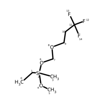 CC[Si](C)(OC)OCOCCC(F)(F)F